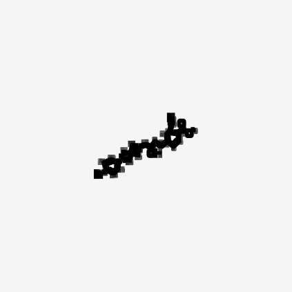 COC(=O)c1ccc(CC[C@H](O)CN2CC3(C2)CN(c2ccc(Br)cc2)C3)cc1C#N